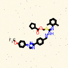 Cc1cccc(C)c1/N=C(/N/N=C/c1ccc(-c2ncn(-c3ccc(OC(F)(F)F)cc3)n2)cc1)SCOC(=O)C1CCCC1